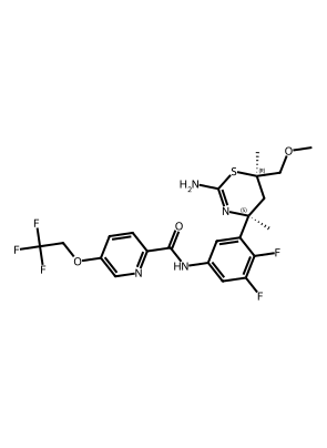 COC[C@@]1(C)C[C@@](C)(c2cc(NC(=O)c3ccc(OCC(F)(F)F)cn3)cc(F)c2F)N=C(N)S1